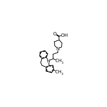 Cc1ccc2c(c1)N(C(C)CCN1CCC(C(=O)O)CC1)c1ccccc1CC2